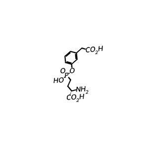 N[C@@H](CC[P@](=O)(O)Oc1cccc(CC(=O)O)c1)C(=O)O